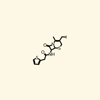 CC1=C(CI)CSC2C(NC(=O)Cc3cccs3)C(=O)N12